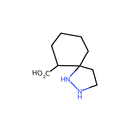 O=C(O)C1CCCCC12CCNN2